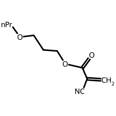 C=C(C#N)C(=O)OCCCOCCC